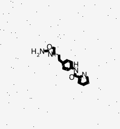 NC1=N[C@@H](CCc2ccc(NC(=O)c3ccccn3)cc2)CO1